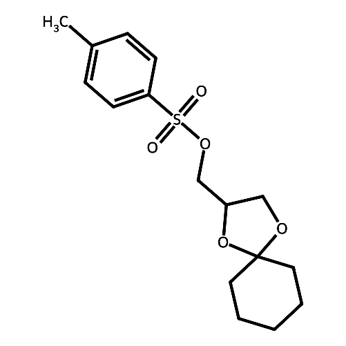 Cc1ccc(S(=O)(=O)OCC2COC3(CCCCC3)O2)cc1